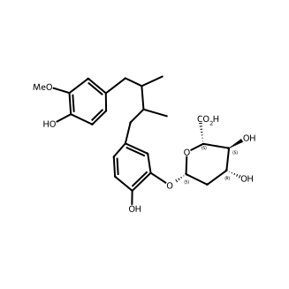 COc1cc(CC(C)C(C)Cc2ccc(O)c(O[C@H]3C[C@@H](O)[C@H](O)[C@@H](C(=O)O)O3)c2)ccc1O